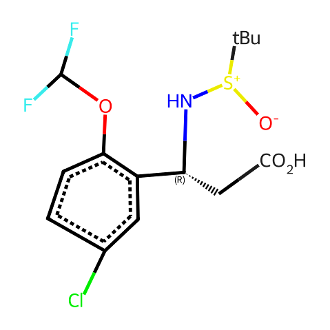 CC(C)(C)[S+]([O-])N[C@H](CC(=O)O)c1cc(Cl)ccc1OC(F)F